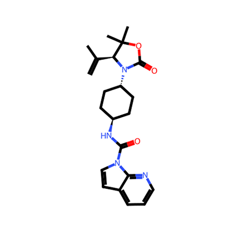 C=C(C)[C@@H]1N([C@H]2CC[C@H](NC(=O)n3ccc4cccnc43)CC2)C(=O)OC1(C)C